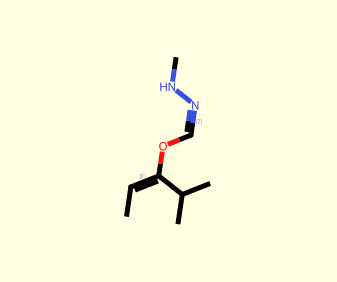 C/C=C(/O/C=N\NC)C(C)C